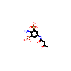 CC(=O)CC(=O)Nc1cc(S(=O)(=O)O)c(N)c(S(=O)(=O)O)c1